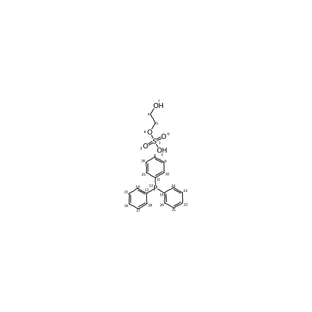 O=S(=O)(O)OCCO.c1ccc(P(c2ccccc2)c2ccccc2)cc1